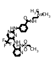 CCS(=O)(=O)Nc1ncccc1CNc1nc(Nc2cccc(C(=O)NCC[As](C)C)c2)ncc1C(F)(F)F